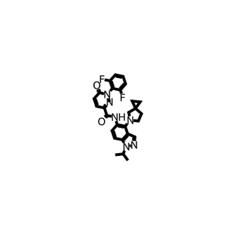 CC(C)n1ncc2c(N3CCC4(CC4)C3)c(NC(=O)c3ccc(=O)n(-c4c(F)cccc4F)n3)ccc21